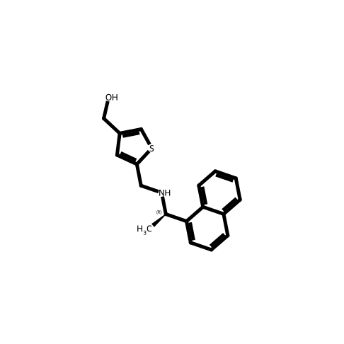 C[C@@H](NCc1cc(CO)cs1)c1cccc2ccccc12